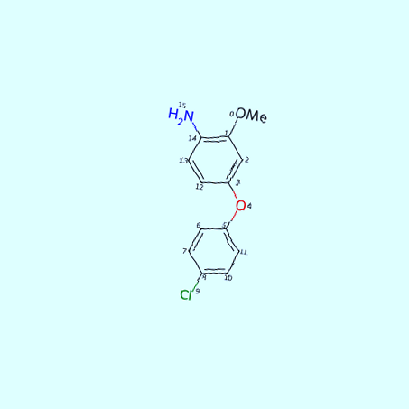 COc1cc(Oc2ccc(Cl)cc2)ccc1N